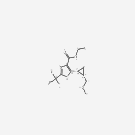 CCOC(=O)c1nc(C(F)(F)F)sc1[C@@H]1C[C@H]1COC